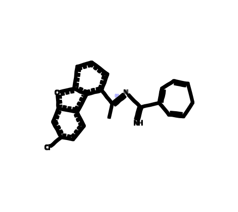 C/C(=N\C(=N)C1=CC=CCC=C1)c1cccc2oc3cc(Cl)ccc3c12